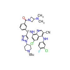 CN(C)C1CN(C(=O)c2cccc([C@H](Nc3cc(Cl)cc4c(Nc5ccc(F)c(Cl)c5)c(C#N)cnc34)c3cn(C4CCN(C(C)(C)C)CC4)nn3)c2)C1